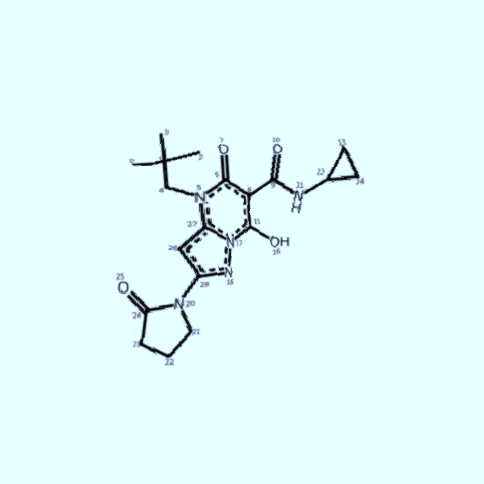 CC(C)(C)Cn1c(=O)c(C(=O)NC2CC2)c(O)n2nc(N3CCCC3=O)cc12